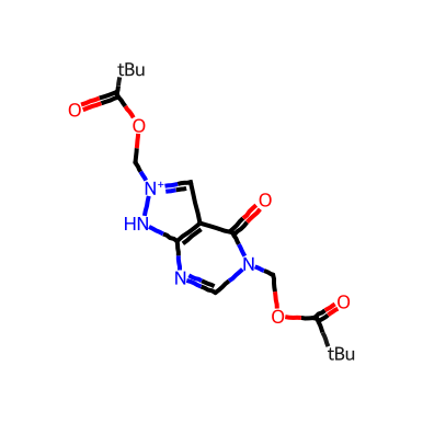 CC(C)(C)C(=O)OCn1cnc2[nH][n+](COC(=O)C(C)(C)C)cc2c1=O